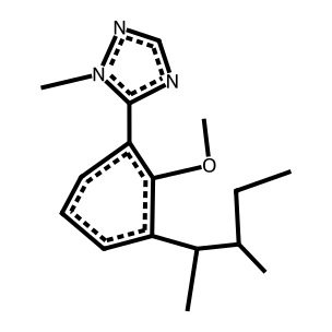 CCC(C)C(C)c1cccc(-c2ncnn2C)c1OC